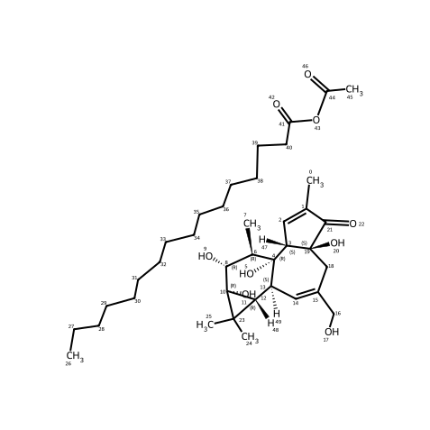 CC1=C[C@H]2[C@]3(O)[C@H](C)[C@@H](O)[C@@]4(O)[C@H]([C@@H]3C=C(CO)C[C@@]2(O)C1=O)C4(C)C.CCCCCCCCCCCCCCCC(=O)OC(C)=O